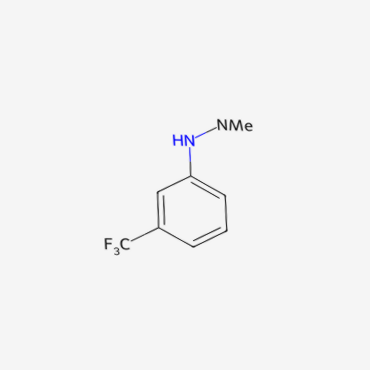 CNNc1cccc(C(F)(F)F)c1